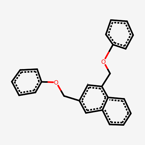 [c]1c(COc2ccccc2)cc2ccccc2c1COc1ccccc1